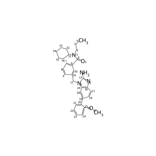 CCCN(C(=O)c1cccc(Cn2c(N)nc3ccc(-c4ccccc4OC)cc32)c1)C1CCCCC1